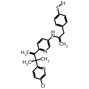 C=C(Cc1ccc(SCC)cc1)Nc1ccc(C(=C)C(C)(C)c2ccc(Cl)cn2)nc1